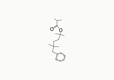 CC(C)C(=O)OC(C)(C)CCC(C)(C)Cc1ccccc1